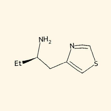 CC[C@@H](N)Cc1cscn1